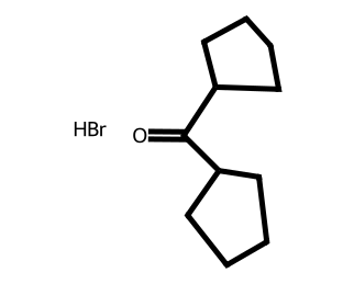 Br.O=C(C1CCCC1)C1CCCC1